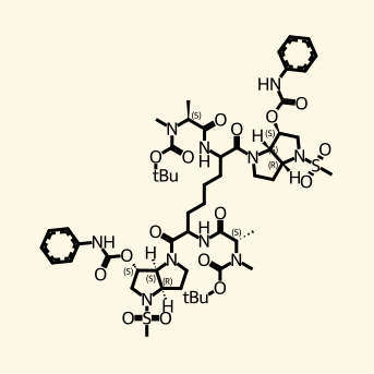 C[C@@H](C(=O)NC(CCCCC(NC(=O)[C@H](C)N(C)C(=O)OC(C)(C)C)C(=O)N1CC[C@@H]2[C@H]1[C@@H](OC(=O)Nc1ccccc1)CN2S(C)(=O)=O)C(=O)N1CC[C@@H]2[C@H]1[C@@H](OC(=O)Nc1ccccc1)CN2S(C)(=O)=O)N(C)C(=O)OC(C)(C)C